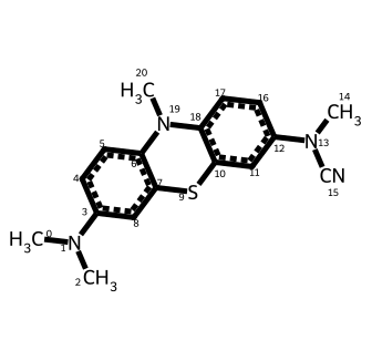 CN(C)c1ccc2c(c1)Sc1cc(N(C)C#N)ccc1N2C